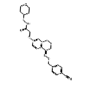 N#Cc1ccc(CON=C2CCCc3cc(OCC(=O)NCC4CCOCC4)ccc32)cc1